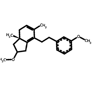 COc1cccc(CCC2=C3CC(OC)C[C@]3(C)CC=C2C)c1